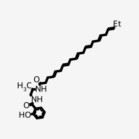 CCC=CCC=CCC=CCC=CCC=CCC=CCCC(=O)NC(C)CNC(=O)c1ccccc1O